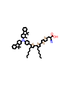 CCCCCCc1cc(-c2sc(-c3cc4c(s3)CC(/C=C(\C#N)C(=O)O)S4)cc2CCCCCC)sc1-c1ccc(N(C2=CC3=C(CC2)c2ccccc2C3(C)C)C2=CC=C3c4ccccc4C(C)(C)C3C2C)cc1